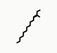 CCCCCCCCCC/C=C(\C)CC